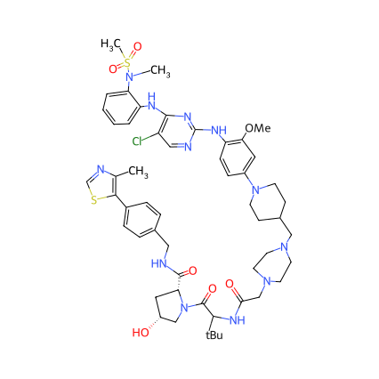 COc1cc(N2CCC(CN3CCN(CC(=O)NC(C(=O)N4C[C@H](O)C[C@@H]4C(=O)NCc4ccc(-c5scnc5C)cc4)C(C)(C)C)CC3)CC2)ccc1Nc1ncc(Cl)c(Nc2ccccc2N(C)S(C)(=O)=O)n1